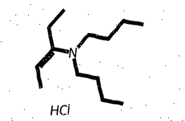 CC=C(CC)N(CCCC)CCCC.Cl